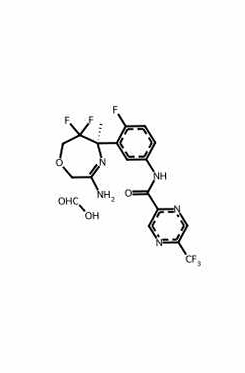 C[C@]1(c2cc(NC(=O)c3cnc(C(F)(F)F)cn3)ccc2F)N=C(N)COCC1(F)F.O=CO